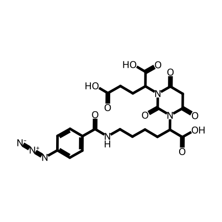 [N-]=[N+]=Nc1ccc(C(=O)NCCCCC(C(=O)O)N2C(=O)CC(=O)N(C(CCC(=O)O)C(=O)O)C2=O)cc1